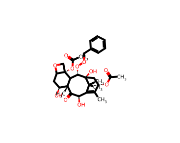 CC(=O)O[C@H]1C[C@@]2(O)[C@@H](OOCc3ccccc3)C3[C@]4(OC(C)=O)COC4C[C@H](O)[C@@]3(C)C(=O)[C@H](O)C(=C1C)C2(C)C